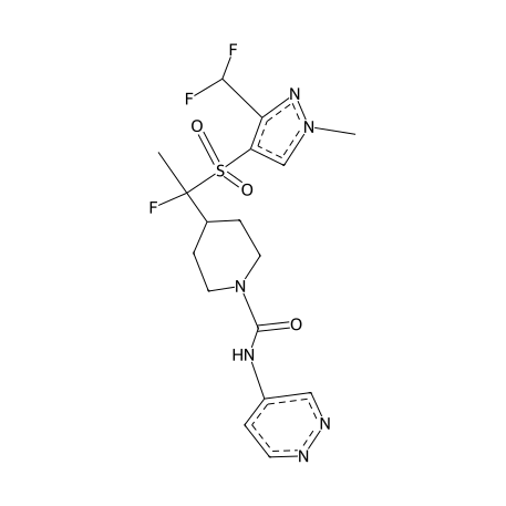 Cn1cc(S(=O)(=O)C(C)(F)C2CCN(C(=O)Nc3ccnnc3)CC2)c(C(F)F)n1